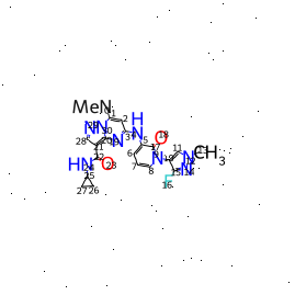 CNc1cc(Nc2cccn(-c3cn(C)nc3F)c2=O)nc2c(C(=O)NC3CC3)cnn12